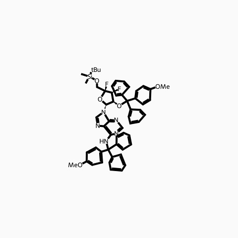 COc1ccc(C(Nc2ncnc3c2ncn3[C@@H]2O[C@](F)(CO[Si](C)(C)C(C)(C)C)[C@@H](F)[C@H]2OC(c2ccccc2)(c2ccccc2)c2ccc(OC)cc2)(c2ccccc2)c2ccccc2)cc1